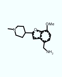 COc1ccc(CN)c2cc(C3CCN(C)CC3)oc12